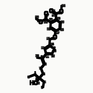 CCC(O)(CC)CC/C=C(\C)c1csc(COc2ccc(C(=O)OC)c(C(=O)OC)c2)c1